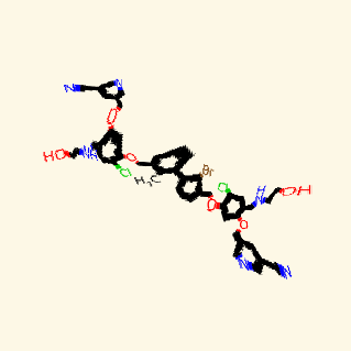 Cc1c(COc2cc(OCc3cncc(C#N)c3)c(CNCCO)cc2Cl)cccc1-c1cccc(COc2cc(OCc3cncc(C#N)c3)c(CNCCO)cc2Cl)c1Br